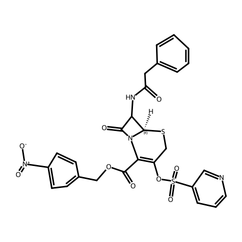 O=C(Cc1ccccc1)NC1C(=O)N2C(C(=O)OCc3ccc([N+](=O)[O-])cc3)=C(OS(=O)(=O)c3cccnc3)CS[C@H]12